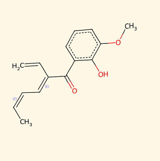 C=C/C(=C\C=C/C)C(=O)c1cccc(OC)c1O